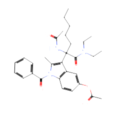 CCCCCC(NC(C)=O)(C(=O)N(CC)CC)c1c(C)n(C(=O)c2ccccc2)c2ccc(OC(C)=O)cc12